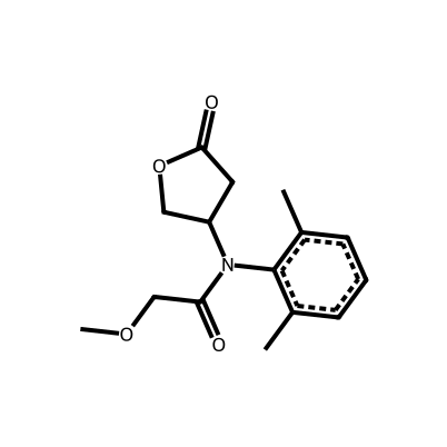 COCC(=O)N(c1c(C)cccc1C)C1COC(=O)C1